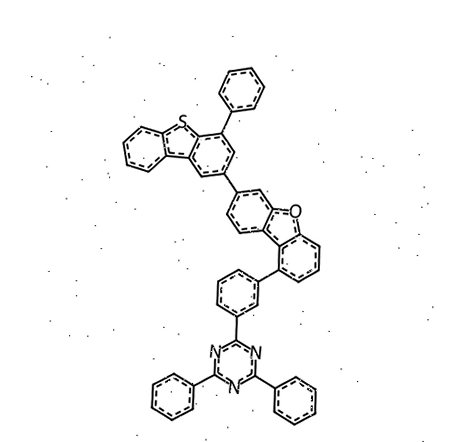 c1ccc(-c2nc(-c3ccccc3)nc(-c3cccc(-c4cccc5oc6cc(-c7cc(-c8ccccc8)c8sc9ccccc9c8c7)ccc6c45)c3)n2)cc1